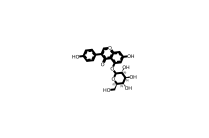 O=c1c(-c2ccc(O)cc2)coc2cc(O)cc(OC3O[C@H](CO)[C@@H](O)[C@H](O)[C@H]3O)c12